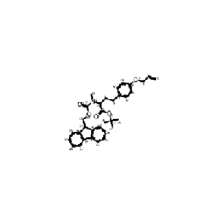 C=CCOc1ccc(CCC(C(=O)OC(C)(C)C)N(C)C(=O)OCC2c3ccccc3-c3ccccc32)cc1